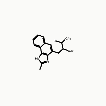 CC(=O)OC(Cl)C(Cc1nc2ccccc2c2[nH]c(C)nc12)OC(C)=O